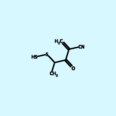 C=C(C#N)C(=O)C(C)SS